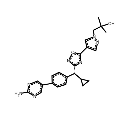 CC(C)(O)Cn1cc(-c2nc([C@@H](c3ccc(-c4cnc(N)nc4)cc3)C3CC3)no2)cn1